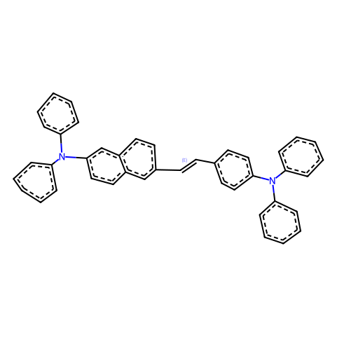 C(=C\c1ccc2cc(N(c3ccccc3)c3ccccc3)ccc2c1)/c1ccc(N(c2ccccc2)c2ccccc2)cc1